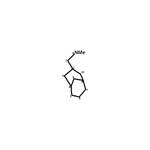 CNCC1CC2CCCC(C2)C1